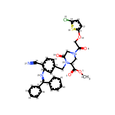 COC(=O)C1CN(C(=O)COc2ccc(Cl)s2)CC(=O)N1Cc1ccc(C#N)c(N=C(c2ccccc2)c2ccccc2)c1